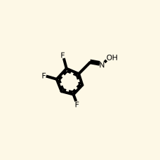 O/N=C/c1cc(F)cc(F)c1F